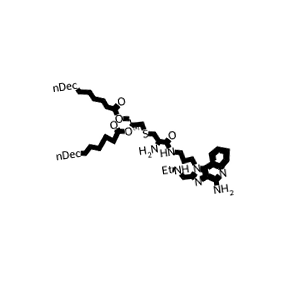 CCCCCCCCCCCCCCCC(=O)OC[C@H](CSCC(N)C(=O)NCCCn1c(CNCC)nc2c(N)nc3ccccc3c21)OC(=O)CCCCCCCCCCCCCCC